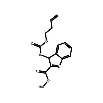 C=CCCOC(=O)NC1C(C(=O)OC(C)(C)C)=Nc2ccccc21